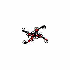 O=C(Oc1cc(OC(=O)c2ccc(OCCCCCCC3CO3)c(F)c2)c(OC(=O)c2ccc(OCCCCCCC3CO3)c(F)c2)cc1OC(=O)c1ccc(OCCCCCCC2CO2)c(F)c1)c1ccc(OCCCCCCC2CO2)c(F)c1